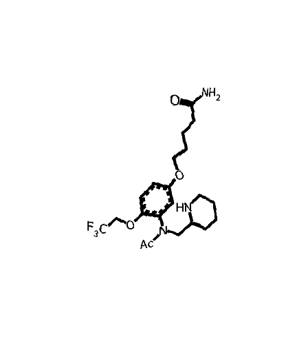 CC(=O)N(CC1CCCCN1)c1cc(OCCCCC(N)=O)ccc1OCC(F)(F)F